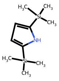 C[Si](C)(C)c1ccc([Si](C)(C)C)[nH]1